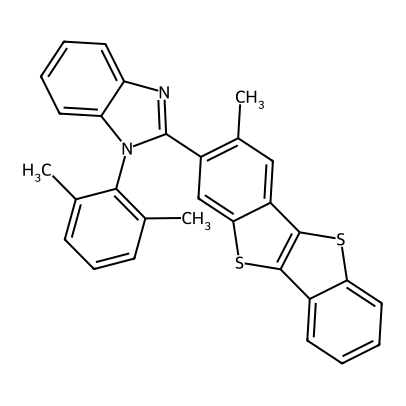 Cc1cc2c(cc1-c1nc3ccccc3n1-c1c(C)cccc1C)sc1c3ccccc3sc21